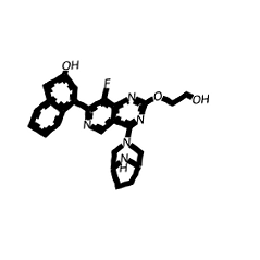 OCCOc1nc(N2CC3CCC(C2)N3)c2cnc(-c3cc(O)cc4ccccc34)c(F)c2n1